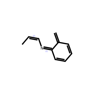 C=C1C=CC=C/C1=N/C=C\C